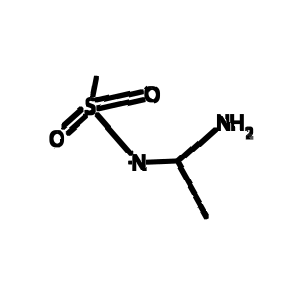 CC(N)[N]S(C)(=O)=O